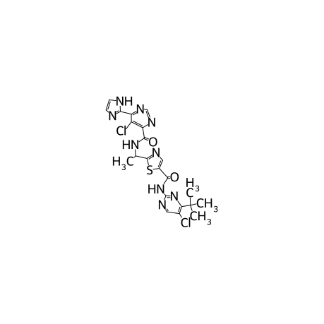 CC(NC(=O)c1ncnc(-c2ncc[nH]2)c1Cl)c1ncc(C(=O)Nc2ncc(Cl)c(C(C)(C)C)n2)s1